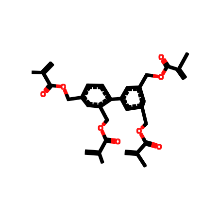 C=C(C)C(=O)OCc1cc(COC(=O)C(=C)C)cc(-c2ccc(COC(=O)C(=C)C)cc2COC(=O)C(=C)C)c1